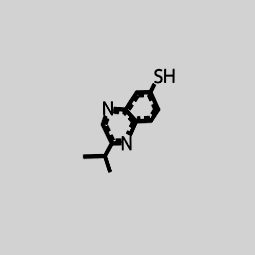 CC(C)c1cnc2cc(S)ccc2n1